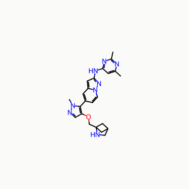 Cc1cc(Nc2cc3cc(-c4c(OCC56CC(CN5)C6)cnn4C)ccn3n2)nc(C)n1